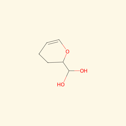 OC(O)C1CCC=CO1